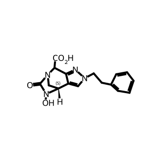 O=C(O)C1c2nn(CCc3ccccc3)cc2[C@H]2CN1C(=O)N2O